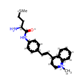 CSCC[C@H](N)C(=O)Nc1ccc(C=Cc2cc[n+](C)c3ccccc23)cc1